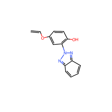 C=COc1ccc(O)c(-n2nc3ccccc3n2)c1